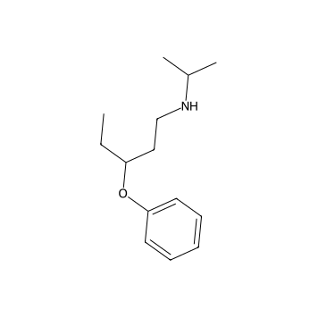 CCC(CCNC(C)C)Oc1ccccc1